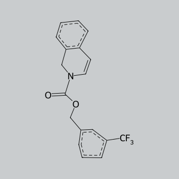 O=C(OCc1cccc(C(F)(F)F)c1)N1C=Cc2ccccc2C1